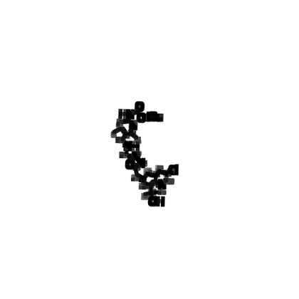 Cc1cc(NC(=O)OC(C)(C)C)nc(C)c1CNCc1nnc(Cc2cc(C(C)(C)O)c3ncc(Cl)cc3c2)o1